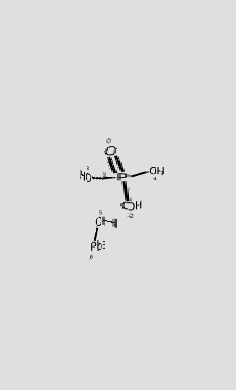 O=P(O)(O)O.[OH][Pb]